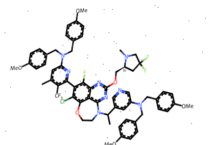 COc1ccc(CN(Cc2ccc(OC)cc2)c2cncc(C(C)N3CCOc4c(Cl)c(-c5nc(N(Cc6ccc(OC)cc6)Cc6ccc(OC)cc6)cc(C)c5C(F)(F)F)c(F)c5nc(OC[C@@H]6CC(F)(F)CN6C)nc3c45)c2)cc1